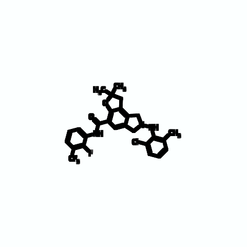 Cc1cccc(Cl)c1NN1Cc2cc(C(=O)Nc3cccc(C(F)(F)F)c3F)c3c(c2C1)CC(C)(C)O3